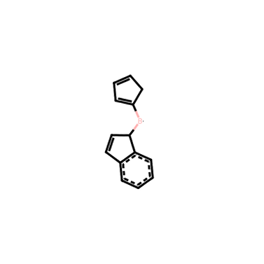 [B](C1=CC=CC1)C1C=Cc2ccccc21